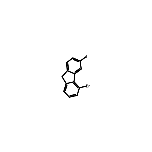 Brc1cccc2c1-c1cc(I)ccc1C2